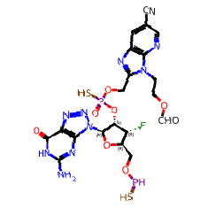 N#Cc1cnc2c(c1)nc(COP(=O)(S)O[C@@H]1[C@H](F)[C@@H](COPS)O[C@H]1n1nnc3c(=O)[nH]c(N)nc31)n2CCOC=O